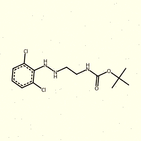 CC(C)(C)OC(=O)NCCNNc1c(Cl)cccc1Cl